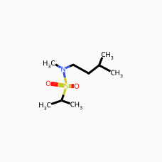 CC(C)CCN(C)S(=O)(=O)C(C)C